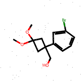 COC1(OC)CC(CO)(c2cccc(Br)c2)C1